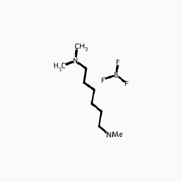 CNCCCCCCN(C)C.FB(F)F